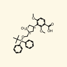 COc1ccc(C(=O)O)c(OC)c1[C@H]1C[C@@H](CO[Si](c2ccccc2)(c2ccccc2)C(C)(C)C)[S@+]([O-])C1